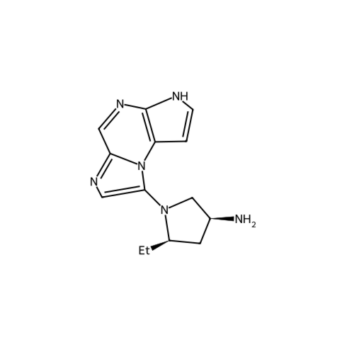 CC[C@@H]1C[C@H](N)CN1c1cnc2cnc3[nH]ccc3n12